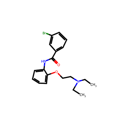 CCN(CC)CCOc1ccccc1NC(=O)c1cccc(Br)c1